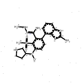 NN/N=C(\N)c1c(-c2cccc3oc(N)nc23)ccc([S+]([O-])C2CCNC2)c1S(N)(=O)=O